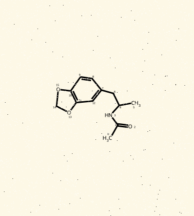 CC(=O)NC(C)Cc1ccc2c(c1)OCO2